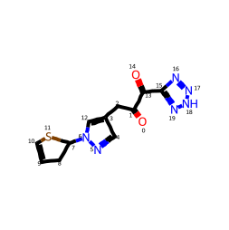 O=C(Cc1cnn(C2CC=CS2)c1)C(=O)c1nn[nH]n1